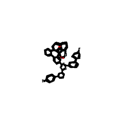 Fc1ccc(-c2cccc(-c3nc(-c4cccc(-c5ccc(F)cc5)c4)nc(-c4ccc5c(c4)C4(c6ccccc6Oc6ccccc64)c4ccccc4-c4ccccc4-5)n3)c2)cc1